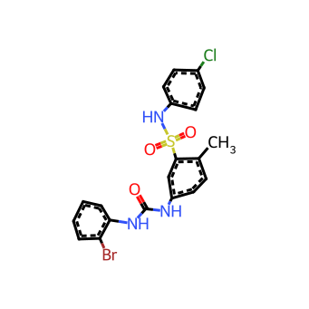 Cc1ccc(NC(=O)Nc2ccccc2Br)cc1S(=O)(=O)Nc1ccc(Cl)cc1